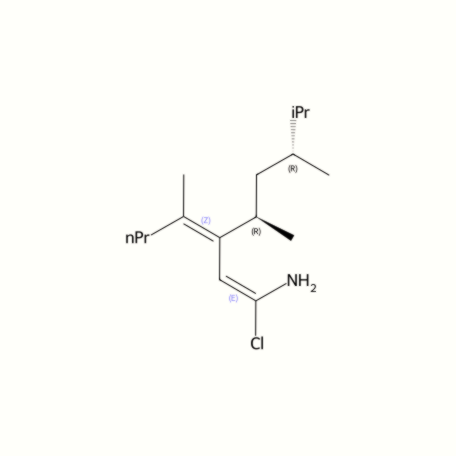 CCC/C(C)=C(\C=C(/N)Cl)[C@H](C)C[C@@H](C)C(C)C